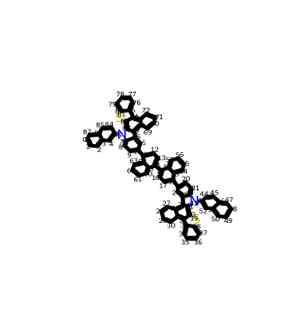 c1ccc2cc(-n3c4ccc(-c5ccc(-c6ccc(-c7ccc8c(c7)c7c9ccccc9c9c%10ccccc%10sc9c7n8-c7ccc8ccccc8c7)c7ccccc67)c6ccccc56)cc4c4c5ccccc5c5c6ccccc6sc5c43)ccc2c1